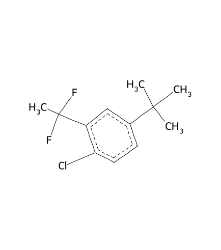 CC(C)(C)c1ccc(Cl)c(C(C)(F)F)c1